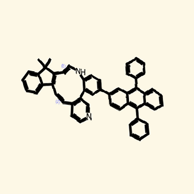 CC1(C)C2=C(/C=C\c3ccncc3-c3cc(-c4ccc5c(-c6ccccc6)c6ccccc6c(-c6ccccc6)c5c4)ccc3N/C=C/2)c2ccccc21